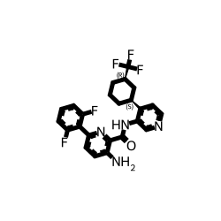 Nc1ccc(-c2c(F)cccc2F)nc1C(=O)Nc1cnccc1[C@H]1CCC[C@@H](C(F)(F)F)C1